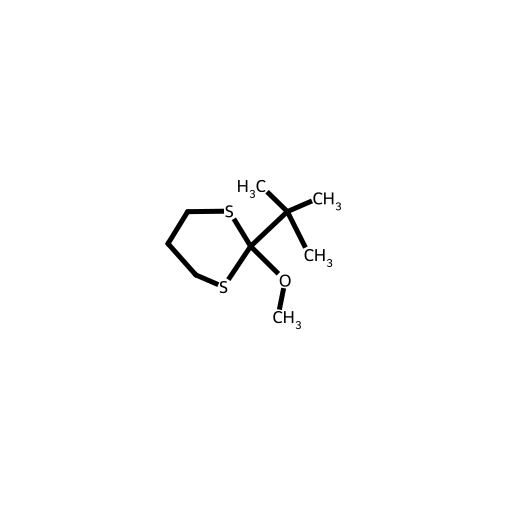 COC1(C(C)(C)C)SCCCS1